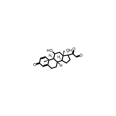 C[C@]12C=CC(=O)C=C1CC[C@@H]1[C@@H]2C(O)C[C@@]2(C)[C@H]1CC[C@]2(O)C(=O)C=O